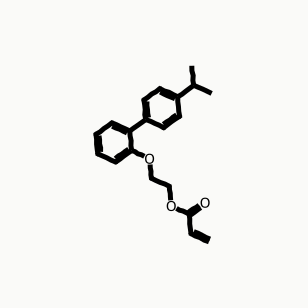 C=CC(=O)OCCOc1ccccc1-c1ccc(C(C)C)cc1